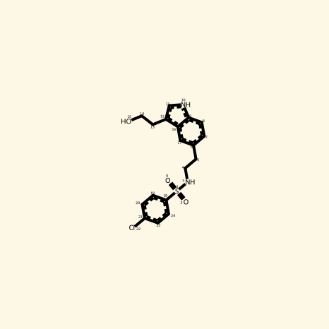 O=S(=O)(NCCc1ccc2[nH]cc(CCO)c2c1)c1ccc(Cl)cc1